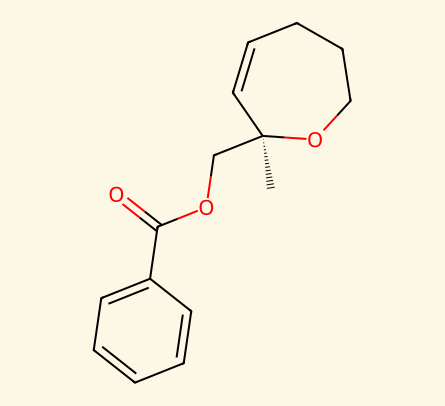 C[C@]1(COC(=O)c2ccccc2)C=CCCCO1